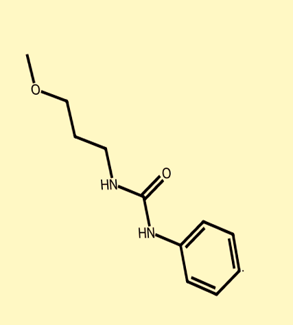 COCCCNC(=O)Nc1cc[c]cc1